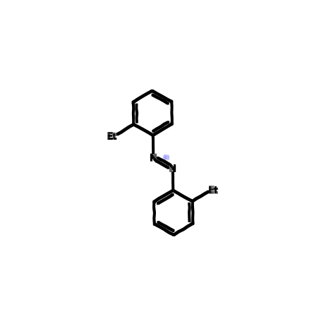 CCc1ccccc1/N=N/c1ccccc1CC